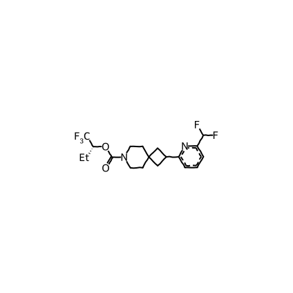 CC[C@@H](OC(=O)N1CCC2(CC1)CC(c1cccc(C(F)F)n1)C2)C(F)(F)F